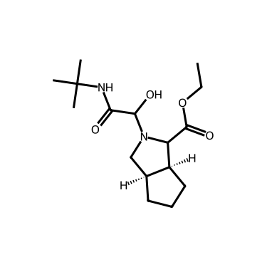 CCOC(=O)C1[C@H]2CCC[C@H]2CN1C(O)C(=O)NC(C)(C)C